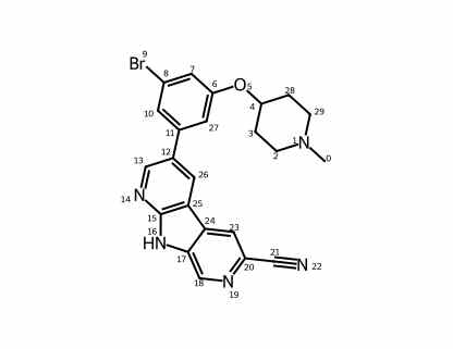 CN1CCC(Oc2cc(Br)cc(-c3cnc4[nH]c5cnc(C#N)cc5c4c3)c2)CC1